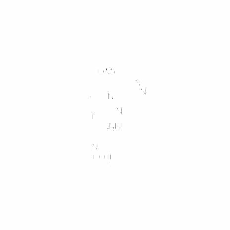 COCC(C)Oc1nc(-c2cnn3ccccc23)nc(N[C@@H]2CCCN(C(=O)O)C2)c1F